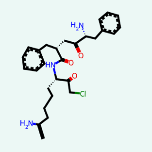 C=C(N)CCCC[C@H](NC(=O)[C@@H](CC(=O)[C@H](N)Cc1ccccc1)Cc1ccccc1)C(=O)CCl